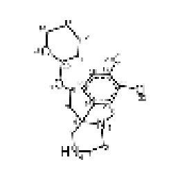 CN1CCNCC1(CCOC1CCCCO1)c1ccc(Cl)c(Cl)c1